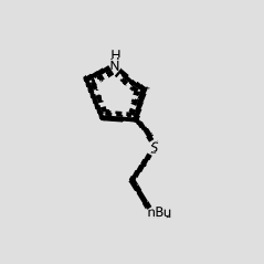 CCCCCSc1[c][nH]cc1